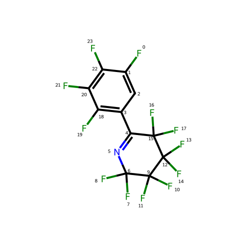 Fc1cc(C2=NC(F)(F)C(F)(F)C(F)(F)C2(F)F)c(F)c(F)c1F